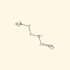 C=COCC[N+](=O)[O-]